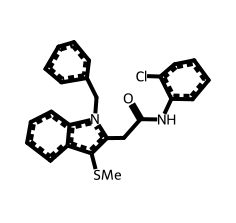 CSc1c(CC(=O)Nc2ccccc2Cl)n(Cc2ccccc2)c2ccccc12